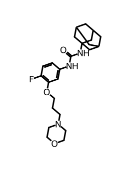 O=C(Nc1ccc(F)c(OCCCN2CCOCC2)c1)NC12CC3CC(CC(C3)C1)C2